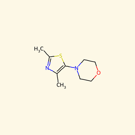 Cc1nc(C)c(N2CCOCC2)s1